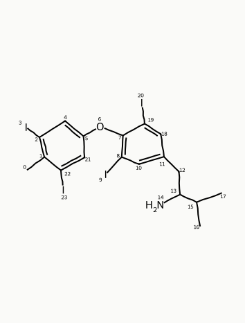 Cc1c(I)cc(Oc2c(I)cc(CC(N)C(C)C)cc2I)cc1I